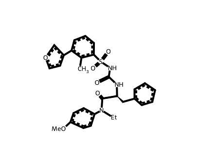 CCN(C(=O)[C@H](Cc1ccccc1)NC(=O)NS(=O)(=O)c1cccc(-c2ccoc2)c1C)c1ccc(OC)cc1